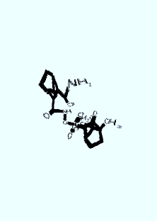 CC12CCC(C(S(=O)(=O)ONC(=O)C3C4C=CC(C4)C3C(N)=O)C1=O)C2(C)C